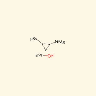 CCCCC1CC1NC.CCCO